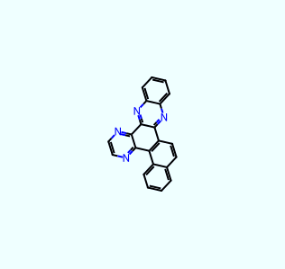 c1ccc2c(c1)ccc1c3nc4ccccc4nc3c3nccnc3c21